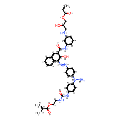 C=CC(=O)OCC(O)CNc1cccc(NC(=O)c2cc3ccccc3c(/N=N/c3ccc(N(N)c4ccc(NC(=O)NCCOC(=O)C(=C)C)cc4)cc3)c2O)c1